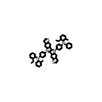 CCc1ccccc1N(c1ccc(-n2c3cc4ccsc4cc3c3c2c2cc4sccc4cc2n3-c2ccc(N(c3ccccc3)c3c(C)cccc3CC)cc2)cc1)c1ccccc1C